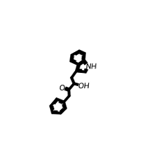 O=C(Cc1ccccc1)C(O)Cc1c[nH]c2ccccc12